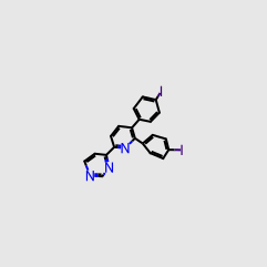 Ic1ccc(-c2ccc(-c3ccncn3)nc2-c2ccc(I)cc2)cc1